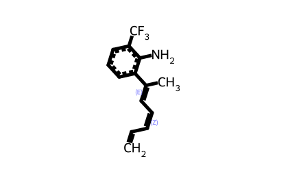 C=C/C=C\C=C(/C)c1cccc(C(F)(F)F)c1N